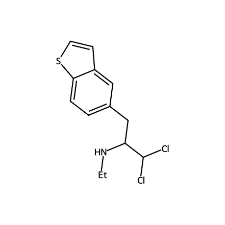 CCNC(Cc1ccc2sccc2c1)C(Cl)Cl